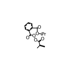 C=C(C)C(=O)OOC(=O)c1ccccc1C(=O)OC(C)C